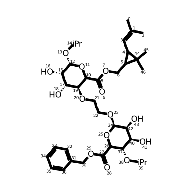 CC(C)=CC1C(COC(=O)C2O[C@@H](OC(C)C)[C@@H](O)[C@@H](O)[C@@H]2OCCO[C@@H]2OC(C(=O)OCc3ccccc3)[C@@H](OC(C)C)[C@H](O)[C@@H]2O)C1(C)C